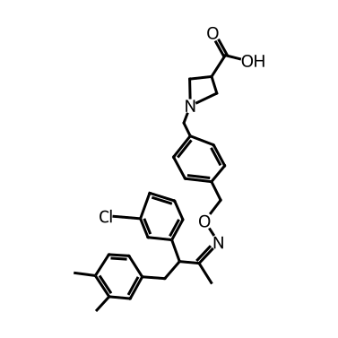 CC(=NOCc1ccc(CN2CC(C(=O)O)C2)cc1)C(Cc1ccc(C)c(C)c1)c1cccc(Cl)c1